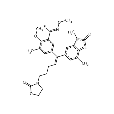 CON=C(F)c1cc(/C(=C\CCCN2CCOC2=O)c2cc(C)c3oc(=O)n(C)c3c2)cc(C)c1OC